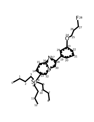 CCC[CH2][Sn]([CH2]CCC)([CH2]CCC)[c]1ccc2nc(-c3cccc(OCCCF)c3)cn2c1